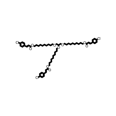 O=C(C=Cc1ccc(Cl)cc1)OCCCCCCCCCCOCC(COCCCCCCCCCCOC(=O)C=Cc1ccc(Cl)cc1)OCCCCCCCCCCOC(=O)C=Cc1ccc(Cl)cc1